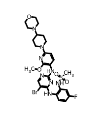 COc1nc(N2CCC(N3CCOCC3)CC2)ccc1Nc1ncc(Br)c(Nc2ccc(F)cc2NS(C)(=O)=O)n1